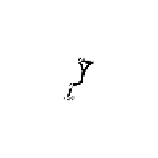 [SeH]SCC1CS1